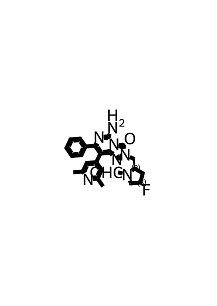 Cc1cc(-c2c(-c3ccccc3)nc(N)n3c(=O)n(C[C@H]4C[C@H](F)CN4C=O)nc23)cc(C)n1